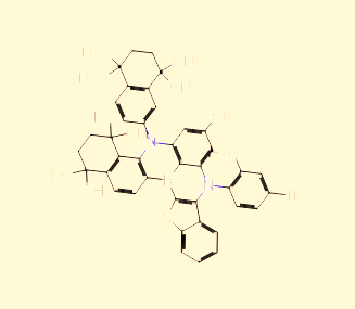 Cc1cc2c3c(c1)N(c1ccc(C(C)(C)C)cc1C)c1c(sc4ccccc14)B3c1ccc3c(c1N2c1ccc2c(c1)C(C)(C)CCC2(C)C)C(C)(C)CCC3(C)C